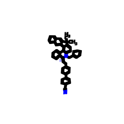 CC1(C)c2cc3ccccc3cc2-c2c(-c3ccccc3/C(=C/Cc3ccc(-c4ccc(C#N)cc4)cc3)NCc3ccccc3)cccc21